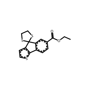 CCOC(=O)c1ccc2c(c1)C1(SCCS1)c1ccsc1-2